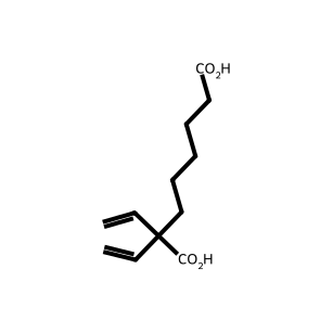 C=CC(C=C)(CCCCCC(=O)O)C(=O)O